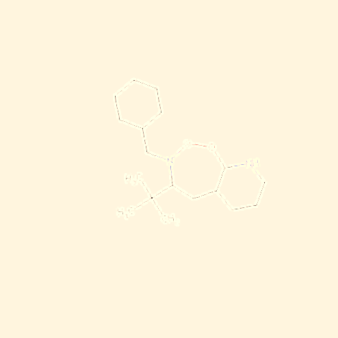 CC(C)(C)C1CC2CCCNC2OON1CC1CCCCC1